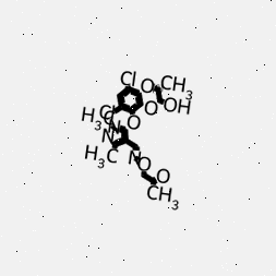 CC(=O)CON=Cc1c(C)nn(C)c1Oc1cc(O[C@@H](C)C(=O)O)c(Cl)cc1Cl